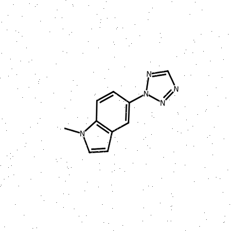 Cn1ccc2cc(-n3ncnn3)ccc21